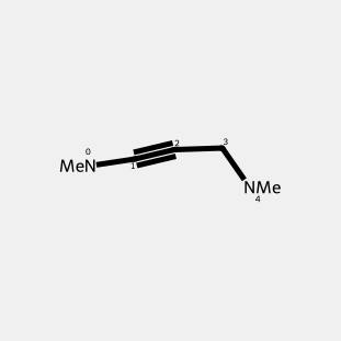 CNC#CCNC